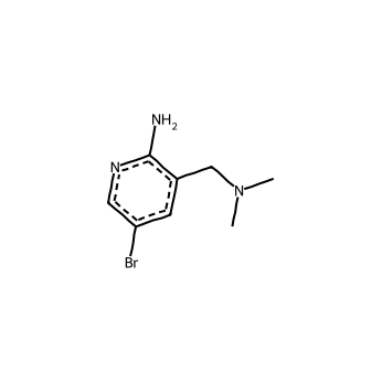 CN(C)Cc1cc(Br)cnc1N